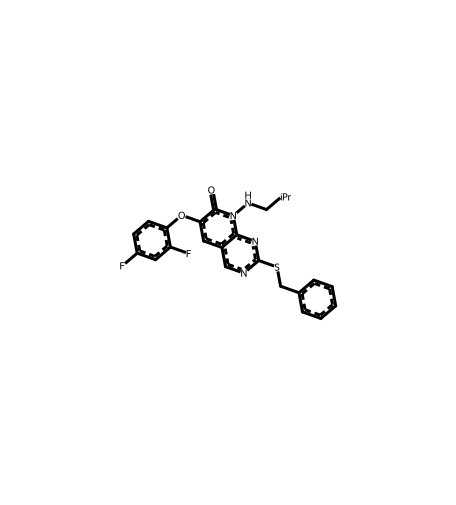 CC(C)CNn1c(=O)c(Oc2ccc(F)cc2F)cc2cnc(SCc3ccccc3)nc21